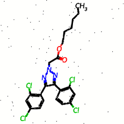 CCCCCCOC(=O)Cn1nc(-c2ccc(Cl)cc2Cl)c(-c2ccc(Cl)cc2Cl)n1